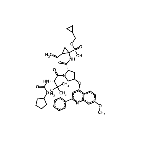 C=CC1CC1(NC(=O)[C@@H]1C[C@@H](Oc2cc(-c3ccccc3)nc3cc(OC)ccc23)CN1C(=O)[C@@H](NC(=O)OC1CCCC1)C(C)(C)C)P(=O)(O)OCC1CC1